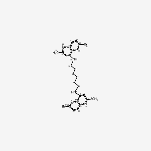 Cc1cc(NCCCCCCNc2cc(C)nc3ccc(Br)cc23)c2cc(Br)ccc2n1